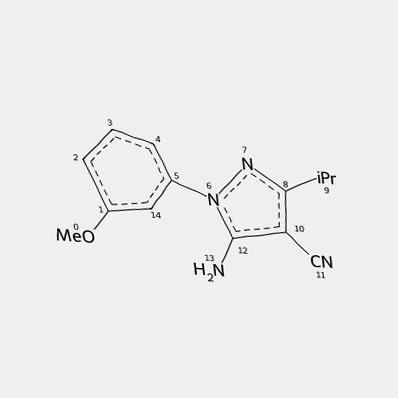 COc1cccc(-n2nc(C(C)C)c(C#N)c2N)c1